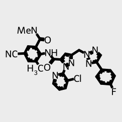 CNC(=O)c1cc(C#N)cc(C)c1NC(=O)c1cc(Cn2ncc(-c3ccc(F)cc3)n2)nn1-c1ncccc1Cl